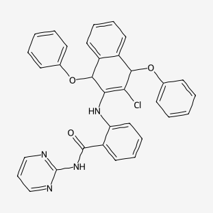 O=C(Nc1ncccn1)c1ccccc1NC1=C(Cl)C(Oc2ccccc2)c2ccccc2C1Oc1ccccc1